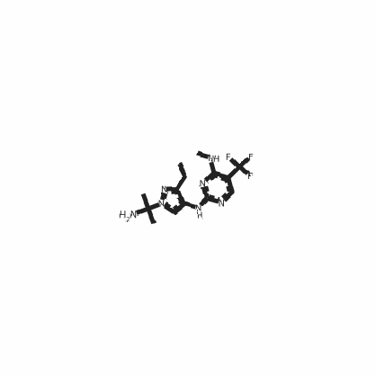 CCc1nn(C(C)(C)N)cc1Nc1ncc(C(F)(F)F)c(NC)n1